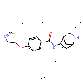 O=C(NC1CC2CC1CN2)c1ccc(Oc2cncs2)cc1